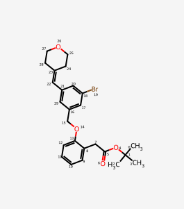 CC(C)(C)OC(=O)Cc1ccccc1OCc1cc(Br)cc(C=C2CCOCC2)c1